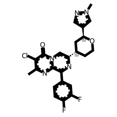 Cc1nc2c(-c3ccc(F)c(F)c3)nc([C@H]3CCO[C@H](c4cnn(C)c4)C3)cn2c(=O)c1Cl